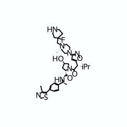 Cc1ncsc1-c1ccc([C@H](C)NC(=O)[C@@H]2C[C@@H](O)CN2C(=O)[C@H](c2cc(N3CCN(CC4(F)CCNCC4)[C@@H](C)C3)no2)C(C)C)cc1